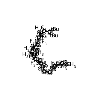 Cc1cc(-c2cc(C(C)(C)C)cc(C(C)(C)C)c2)cc(N2C(=O)c3ccc(C(c4ccc5c(c4)C(=O)N(c4c(C)cc(C)c(N6C(=O)c7ccc(C(c8ccc9c(c8)C(=O)N(c8cccc(-c%10cccc(-c%11nc%12cc(C(C)(c%13ccc%14oc(C)nc%14c%13)C(F)(F)F)ccc%12o%11)c%10)c8)C9=O)(C(F)(F)F)C(F)(F)F)cc7C6=O)c4C)C5=O)(C(F)(F)F)C(F)(F)F)cc3C2=O)c1